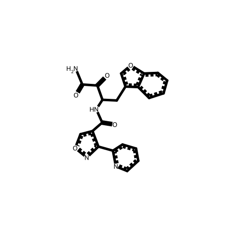 NC(=O)C(=O)C(Cc1coc2ccccc12)NC(=O)c1conc1-c1ccccn1